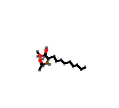 CCCCCCCCCC(SC(C)=O)C(=O)OC